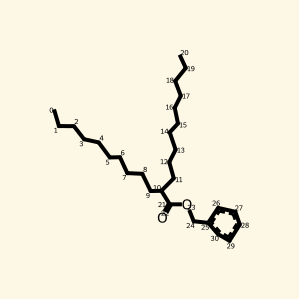 CCCCCCCCCCC(CCCCCCCCCC)C(=O)OCc1ccccc1